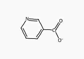 [O]=[Cr]([O-])[c]1cccnc1